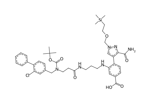 CC(C)(C)OC(=O)N(CCC(=O)NCCCNc1cc(C(=O)O)ccc1-c1cn(COCC[Si](C)(C)C)nc1C(N)=O)Cc1ccc(-c2ccccc2)c(Cl)c1